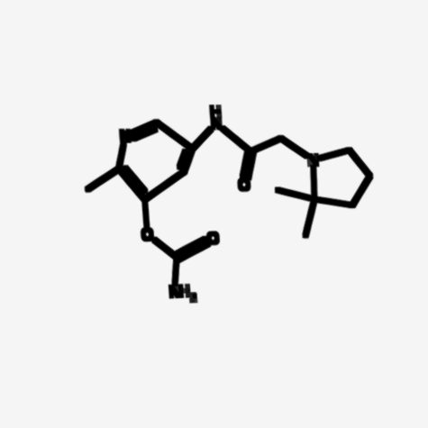 Cc1ncc(NC(=O)CN2CCCC2(C)C)cc1OC(N)=O